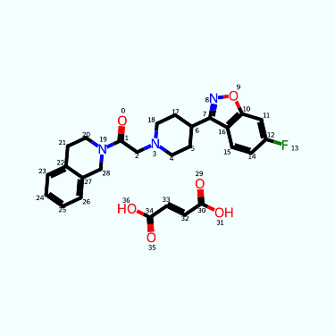 O=C(CN1CCC(c2noc3cc(F)ccc23)CC1)N1CCc2ccccc2C1.O=C(O)/C=C/C(=O)O